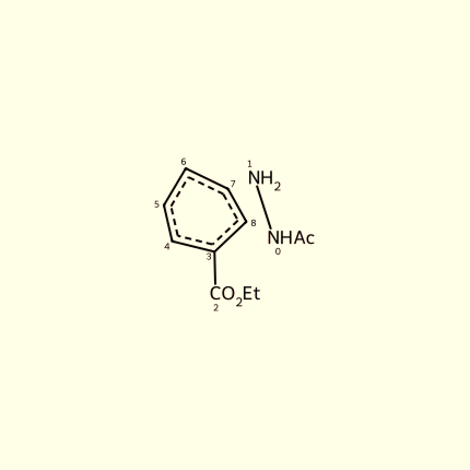 CC(=O)NN.CCOC(=O)c1ccccc1